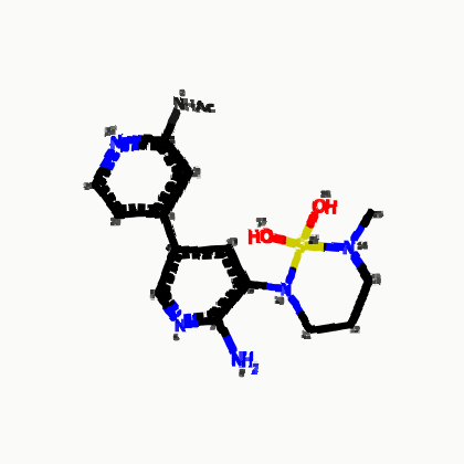 CC(=O)Nc1cc(-c2cnc(N)c(N3CCCN(C)S3(O)O)c2)ccn1